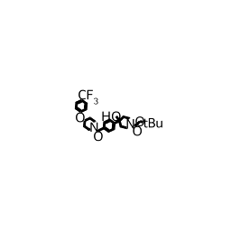 CC(C)(C)OC(=O)N1CCC(O)(c2ccc(C(=O)N3CCC(Oc4ccc(C(F)(F)F)cc4)CC3)cc2)CC1